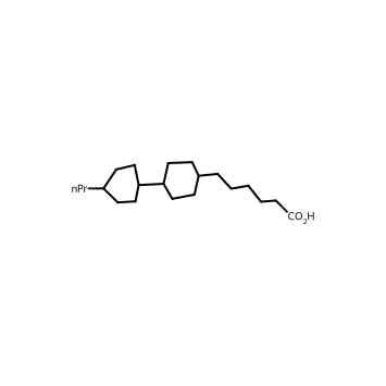 CCCC1CCC(C2CCC(CCCCCC(=O)O)CC2)CC1